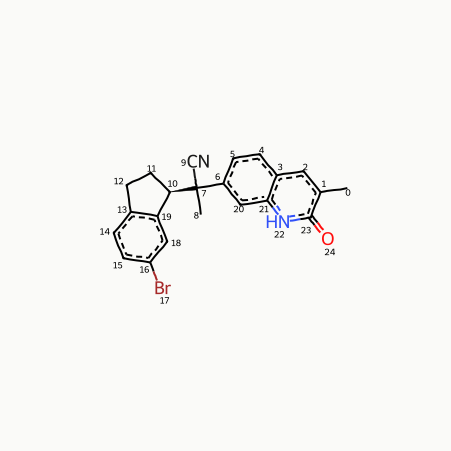 Cc1cc2ccc(C(C)(C#N)[C@@H]3CCc4ccc(Br)cc43)cc2[nH]c1=O